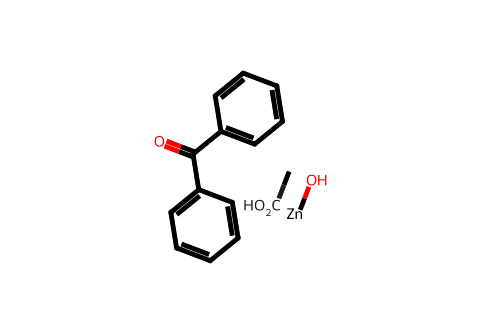 CC(=O)O.O=C(c1ccccc1)c1ccccc1.[OH][Zn]